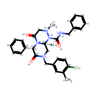 Cc1cc(CN2C[C@H]3N(C(=O)CN(C)N3C(=O)NCc3ccccc3)[C@@H](c3ccccc3)C2=O)ccc1Cl